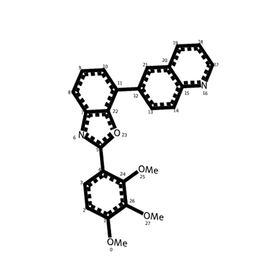 COc1c[c]c(-c2nc3cccc(-c4ccc5ncccc5c4)c3o2)c(OC)c1OC